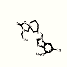 COc1cc(C#N)cc2c1ncn2C[C@H]1CCC[C@]2(C1)CN(CC(C)(C)C)C(=O)O2